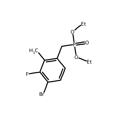 CCOP(=O)(Cc1ccc(Br)c(F)c1C)OCC